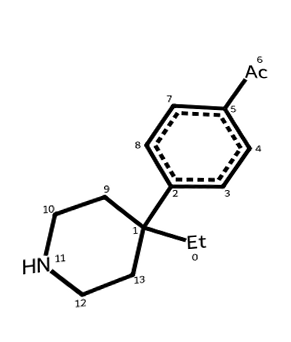 CCC1(c2ccc(C(C)=O)cc2)CCNCC1